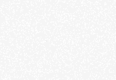 Cc1cc(Br)ccc1C=C1CN(C(=O)OC(C)(C)C)C1